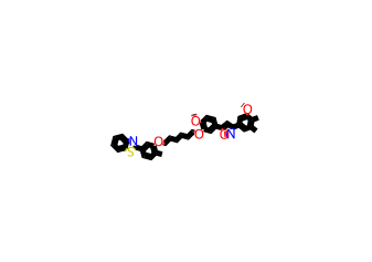 COc1ccc(-c2cc(-c3cc(C)c(C)c(OC)c3)no2)cc1OCCCCCCOc1cc(-c2nc3ccccc3s2)ccc1C